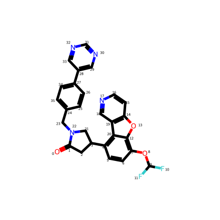 O=C1CC(c2ccc(OC(F)F)c3oc4ccncc4c23)CN1Cc1ccc(-c2cncnc2)cc1